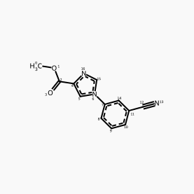 COC(=O)c1cn(-c2cccc(C#N)c2)cn1